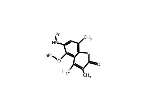 CCCOc1c(NC(C)C)cc(C)c2oc(=O)c(C)c(C)c12